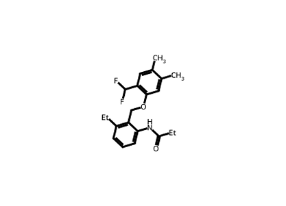 CCC(=O)Nc1cccc(CC)c1COc1cc(C)c(C)cc1C(F)F